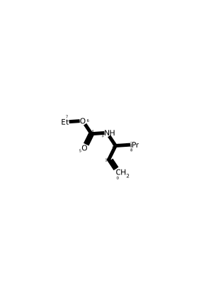 C=CC(NC(=O)OCC)C(C)C